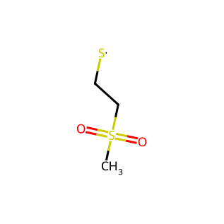 CS(=O)(=O)CC[S]